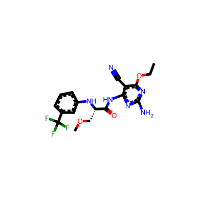 CCOc1nc(N)nc(NC(=O)[C@H](COC)Nc2cccc(C(F)(F)F)c2)c1C#N